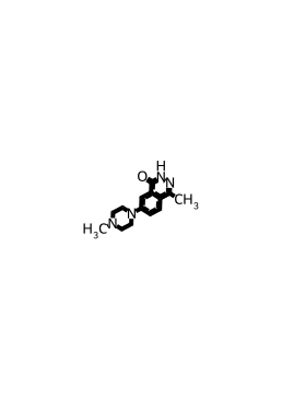 Cc1n[nH]c(=O)c2cc(N3CCN(C)CC3)ccc12